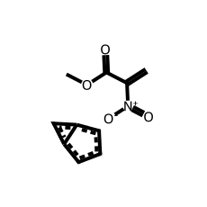 C=C(C(=O)OC)[N+](=O)[O-].c1cc2cc-2c1